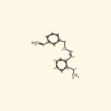 C=Cc1cccc(CO/N=[C]\c2ccccc2CC)c1